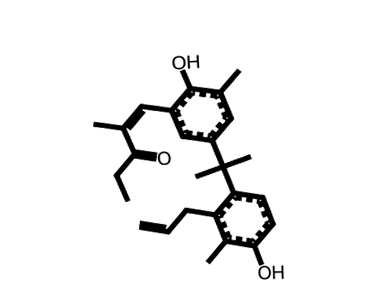 C=CCc1c(C(C)(C)c2cc(C)c(O)c(C=C(C)C(=O)CC)c2)ccc(O)c1C